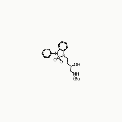 CC(C)(C)NCC(O)CCN1c2ccccc2N(c2ccccc2)S1(=O)=O